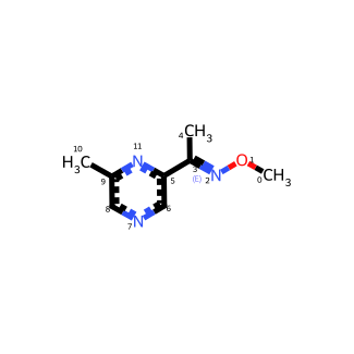 CO/N=C(\C)c1cncc(C)n1